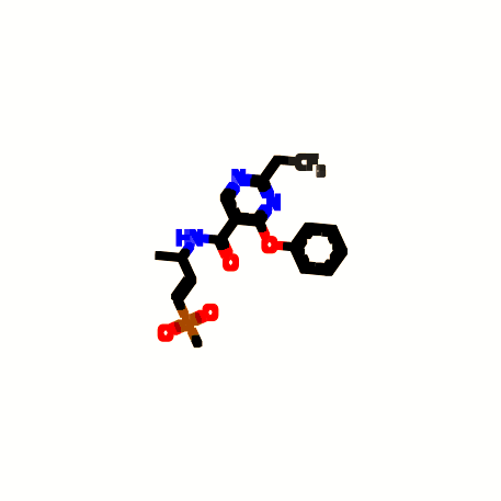 CC(C=CS(C)(=O)=O)NC(=O)c1cnc(CC(F)(F)F)nc1Oc1ccccc1